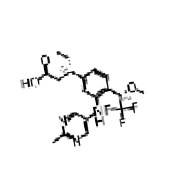 CC[C@@H](CC(=O)O)c1ccc([C@H](OC)C(F)(F)F)c(Nc2cnc(C)nc2)c1